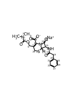 CN(C)C(=O)OCC1=C(C(=O)[O-])N2C(=O)C(NC(=O)Cc3ccccc3)[C@@H]2SC1.[Na+]